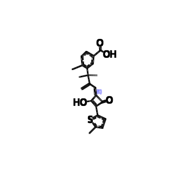 C=C(/C=C1/C(=O)C(c2ccc(C)s2)=C1O)C(C)(C)c1cc(C(=O)O)ccc1C